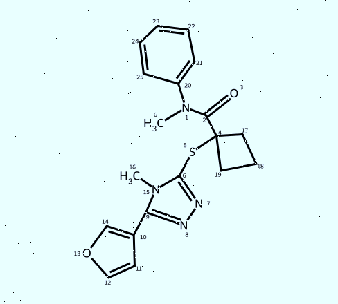 CN(C(=O)C1(Sc2nnc(-c3ccoc3)n2C)CCC1)c1ccccc1